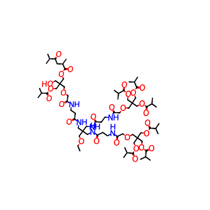 CCOCC(CNC(=O)CCNC(=O)COCC(COC(=O)C(C)C)(COC(=O)C(C)C)COC(=O)C(C)C)(CNC(=O)CCNC(=O)COCC(COC(=O)C(C)C)(COC(=O)C(C)C)COC(=O)C(C)C)CNC(=O)CCNC(=O)COCC(CO)(COC(=O)C(C)C)COC(=O)C(C)CC(=O)C(C)C